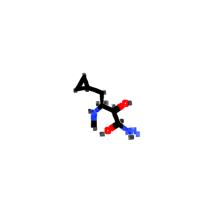 C=N[C@@H](CC1CC1)C(=O)C(N)=O